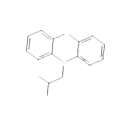 CCCCC(CC)CN1c2ccccc2Sc2ccccc21